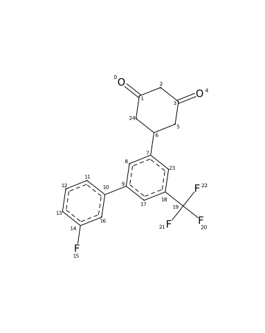 O=C1CC(=O)CC(c2cc(-c3cccc(F)c3)cc(C(F)(F)F)c2)C1